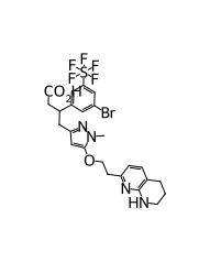 Cn1nc(CC(CC(=O)O)c2cc(Br)cc(S(F)(F)(F)(F)F)c2)cc1OCCc1ccc2c(n1)NCCC2